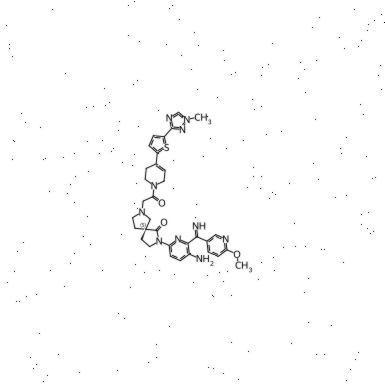 COc1ccc(C(=N)c2nc(N3CC[C@]4(CCN(CC(=O)N5CC=C(c6ccc(-c7ncn(C)n7)s6)CC5)C4)C3=O)ccc2N)cn1